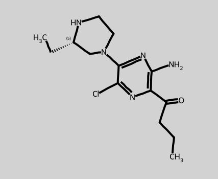 CCCC(=O)c1nc(Cl)c(N2CCN[C@@H](CC)C2)nc1N